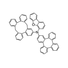 c1ccc2c(c1)Cc1ccccc1-c1ccc(N(c3ccc4c(c3)-c3ccccc3-c3ccccc3-c3ccccc3-4)c3cccc4c3oc3ccccc34)cc1Cc1ccccc1-2